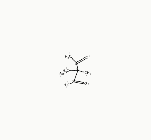 CC(=O)C(C)(C)C(C)=O.[Au]